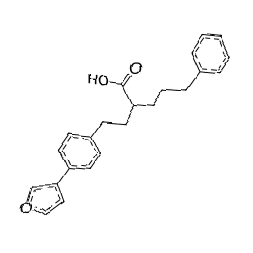 O=C(O)C(CCCc1ccccc1)CCc1ccc(-c2ccoc2)cc1